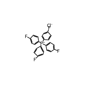 Fc1ccc([P+](c2ccc(F)cc2)(c2ccc(F)cc2)c2ccc(F)cc2)cc1.[Cl-]